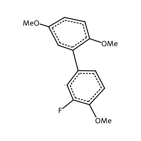 COc1ccc(OC)c(-c2[c]c(F)c(OC)cc2)c1